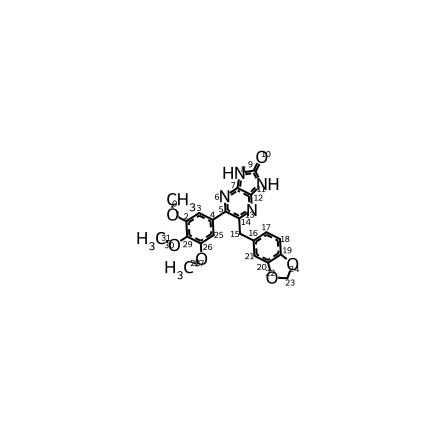 COc1cc(-c2nc3[nH]c(=O)[nH]c3nc2Cc2ccc3c(c2)OCO3)cc(OC)c1OC